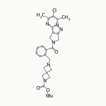 Cc1nc2c3c(nn2c(C)c1Cl)CN(C(=O)c1ccccc1CN1CC2(C1)CN(C(=O)OC(C)(C)C)C2)C3